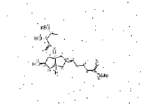 CCCC[C@H](C)[C@@H](O)C=C[C@@H]1[C@H]2CC(=CCCCC(=O)OC)C[C@@H]2C[C@H]1O